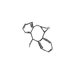 IC1c2ccccc2C2OC2c2ccccc21